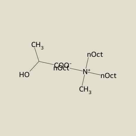 CC(O)C(=O)[O-].CCCCCCCC[N+](C)(CCCCCCCC)CCCCCCCC